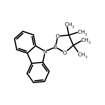 CC1(C)OB(n2c3ccccc3c3ccccc32)OC1(C)C